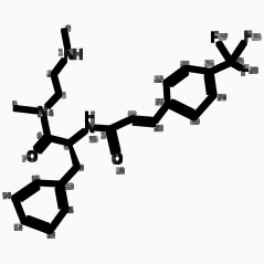 CNCCN(C)C(=O)[C@H](Cc1ccccc1)NC(=O)/C=C/c1ccc(C(F)(F)F)cc1